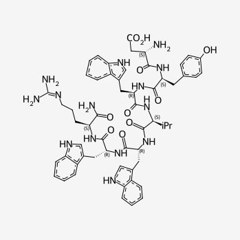 CC(C)[C@H](NC(=O)[C@@H](Cc1c[nH]c2ccccc12)NC(=O)[C@H](Cc1ccc(O)cc1)NC(=O)[C@@H](N)CC(=O)O)C(=O)N[C@H](Cc1c[nH]c2ccccc12)C(=O)N[C@H](Cc1c[nH]c2ccccc12)C(=O)N[C@@H](CCCN=C(N)N)C(N)=O